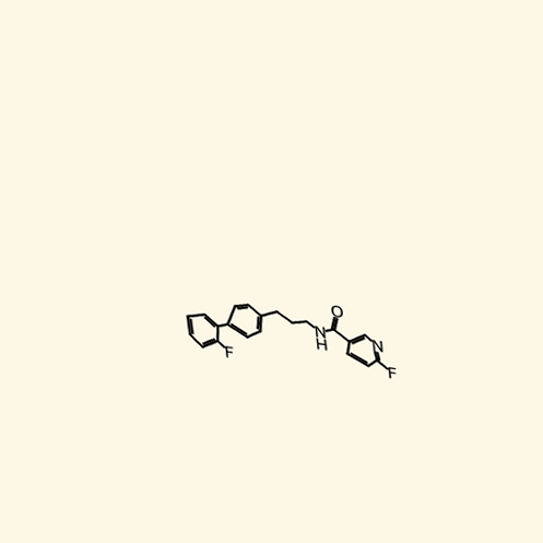 O=C(NCCCc1ccc(-c2ccccc2F)cc1)c1ccc(F)nc1